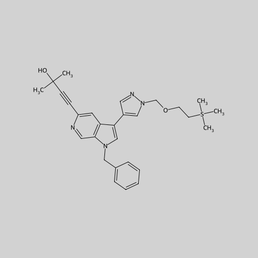 CC(C)(O)C#Cc1cc2c(-c3cnn(COCCS(C)(C)C)c3)cn(Cc3ccccc3)c2cn1